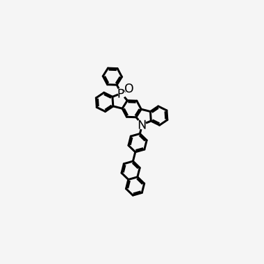 O=P1(c2ccccc2)c2ccccc2-c2cc3c(cc21)c1ccccc1n3-c1ccc(-c2ccc3ccccc3c2)cc1